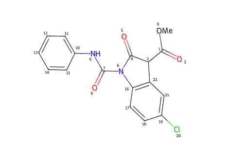 COC(=O)C1C(=O)N(C(=O)Nc2ccccc2)c2ccc(Cl)cc21